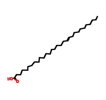 CCCCCCCCCCC=CCCCCCCCCCCCCCCCCCC(=O)O